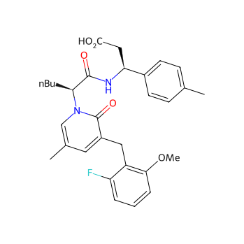 CCCC[C@@H](C(=O)N[C@@H](CC(=O)O)c1ccc(C)cc1)n1cc(C)cc(Cc2c(F)cccc2OC)c1=O